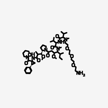 CCC(C)C(C(CC(=O)N1CCC[C@H]1C(OC)C(C)C(=O)N[C@@]1(C(=O)N2CCCCO2)C[C@@H]1c1ccccc1)OC)N(C)C(=O)C(NC(=O)C(C(C)C)N(C)CCOCCOCCOCCN)C(C)C